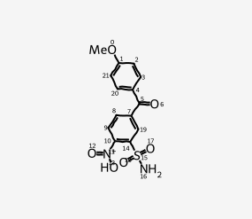 COc1ccc(C(=O)c2ccc([N+](=O)O)c(S(N)(=O)=O)c2)cc1